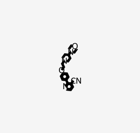 N#Cc1cccnc1-c1ccc(OCCN2CCC(N3CCOCC3)CC2)cc1